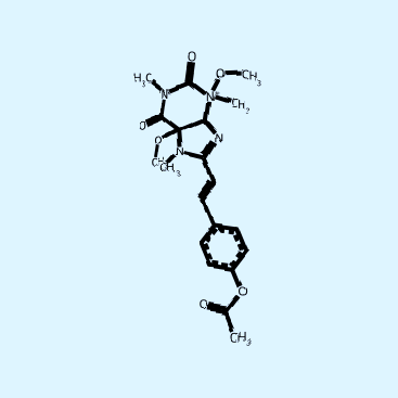 COC12C(=O)N(C)C(=O)[N+](C)(OC)C1N=C(C=Cc1ccc(OC(C)=O)cc1)N2C